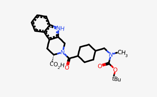 CN(CC1CCC(C(=O)N2Cc3[nH]c4ccccc4c3C[C@H]2C(=O)O)CC1)C(=O)OC(C)(C)C